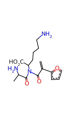 C=C(C(=O)N(C(=O)C(C)N)C(CCCCN)C(=O)O)c1ccco1